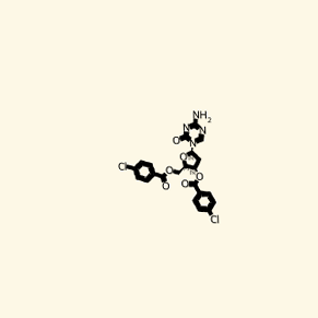 Nc1ncn([C@@H]2C[C@H](OC(=O)c3ccc(Cl)cc3)[C@@H](COC(=O)c3ccc(Cl)cc3)O2)c(=O)n1